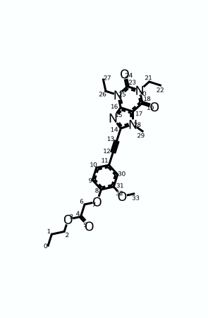 CCCOC(=O)COc1ccc(C#Cc2nc3c(c(=O)n(CC)c(=O)n3CC)n2C)cc1OC